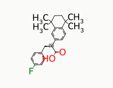 CC1(C)CCC(C)(C)c2cc([C@H](Cc3ccc(F)cc3)C(=O)O)ccc21